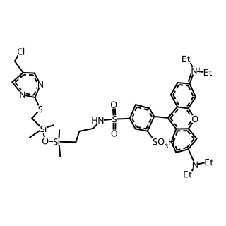 CCN(CC)c1ccc2c(-c3ccc(S(=O)(=O)NCCC[Si](C)(C)O[Si](C)(C)CSc4ncc(CCl)cn4)cc3S(=O)(=O)O)c3ccc(=[N+](CC)CC)cc-3oc2c1